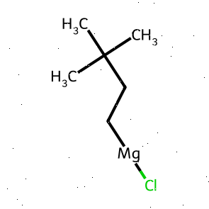 CC(C)(C)C[CH2][Mg][Cl]